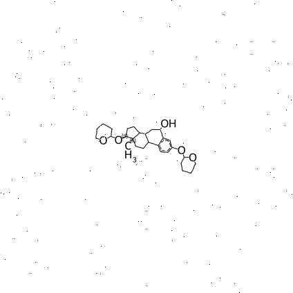 C[C@]12CCC3c4ccc(OC5CCCCO5)cc4C(O)CC3C1CC[C@@H]2OC1CCCCO1